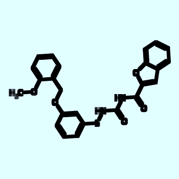 COc1ccccc1COc1cccc(SNC(=O)NC(=O)c2cc3ccccc3o2)c1